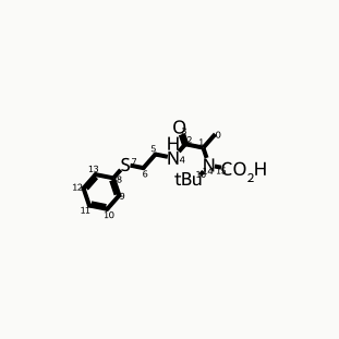 CC(C(=O)NCCSc1ccccc1)N(C(=O)O)C(C)(C)C